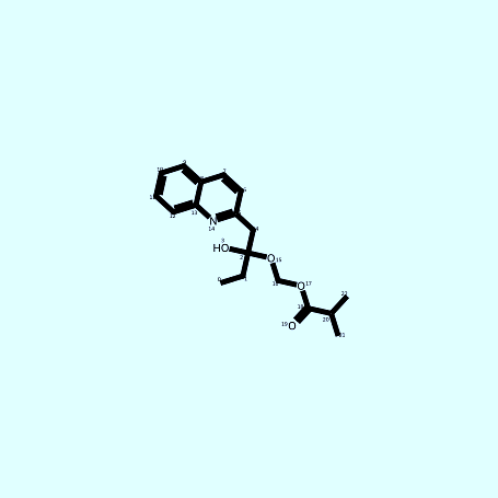 CCC(O)(Cc1ccc2ccccc2n1)OCOC(=O)C(C)C